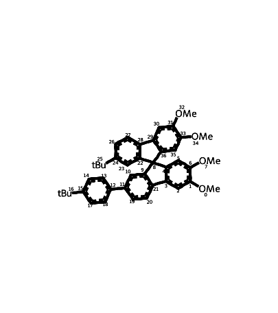 COc1cc2c(cc1OC)C1(c3cc(-c4ccc(C(C)(C)C)cc4)ccc3-2)c2cc(C(C)(C)C)ccc2-c2cc(OC)c(OC)cc21